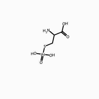 NC(CS[As](=O)(O)O)C(=O)O